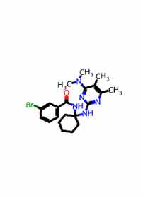 Cc1nc(NC2(NC(=O)c3cccc(Br)c3)CCCCC2)nc(N(C)C)c1C